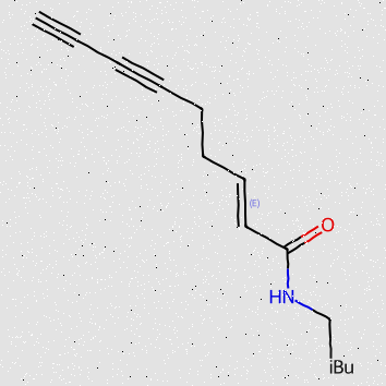 C#CC#CCC/C=C/C(=O)NCC(C)CC